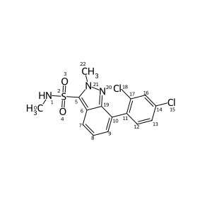 CNS(=O)(=O)c1c2cccc(-c3ccc(Cl)cc3Cl)c2nn1C